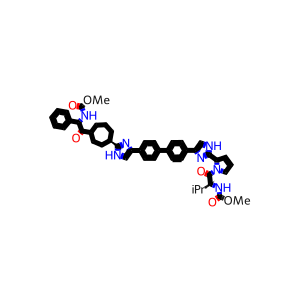 COC(=O)NC(C(=O)C1CCC[C@@H](c2nc(-c3ccc(-c4c#cc(-c5c[nH]c(C6C=CCN6C(=O)[C@@H](NC(=O)OC)C(C)C)n5)cc4)cc3)c[nH]2)CC1)c1ccccc1